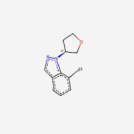 CCc1cccc2cnn([C@H]3CCOC3)c12